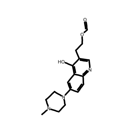 CN1CCN(c2ccc3ncc(CCOC=O)c(O)c3c2)CC1